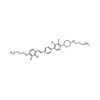 CCCCOc1ccc(/C=C/c2ccc(-c3ccc(C4CCC(OCCCC)CC4)c(F)c3F)cc2)c(F)c1F